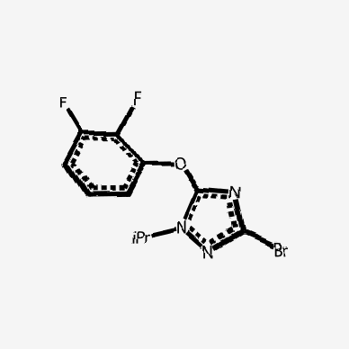 CC(C)n1nc(Br)nc1Oc1cccc(F)c1F